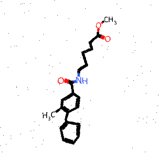 COC(=O)CCCCCNC(=O)c1ccc(-c2ccccc2)c(C)c1